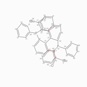 CC(C)(C)C(=O)Oc1cccc(P(c2ccccc2)c2ccccc2)c1-c1c(OC(=O)C(C)(C)C)cccc1P(c1ccccc1)c1ccccc1